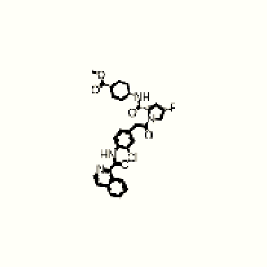 COC(=O)[C@H]1CC[C@H](NC(=O)[C@@H]2C[C@H](F)CN2C(=O)Cc2ccc(NC(=O)c3nccc4ccccc34)c(Cl)c2)CC1